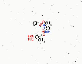 Cc1cc(B(O)O)ccc1CCOC(=O)Nc1cccc(C(C)NC(=O)OCc2ccccc2)c1